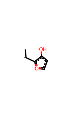 C[CH]c1occc1O